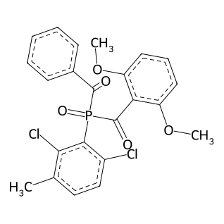 COc1cccc(OC)c1C(=O)P(=O)(C(=O)c1ccccc1)c1c(Cl)ccc(C)c1Cl